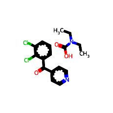 CCN(CC)C(=O)O.O=C(c1ccncc1)c1cccc(Cl)c1Cl